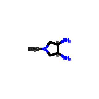 N[C@@H]1CN(C(=O)O)C[C@@H]1N